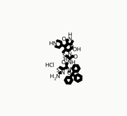 Cl.Nc1nc(C(=NOC(c2ccccc2)(c2ccccc2)c2ccccc2)C(=O)N[C@@H]2C(=O)N3C(C(=O)O)=C(C(=C4CCNC4=O)C4CCNCC4)CS[C@H]23)cs1